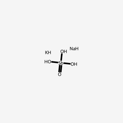 [KH].[NaH].[O]=[Sb]([OH])([OH])[OH]